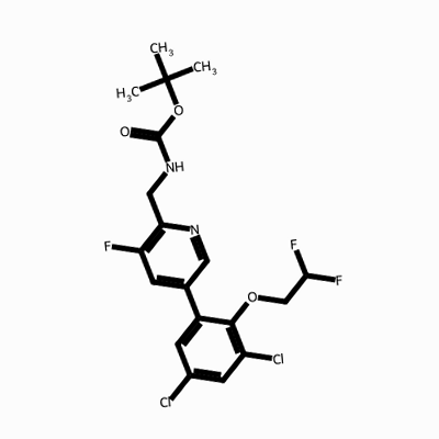 CC(C)(C)OC(=O)NCc1ncc(-c2cc(Cl)cc(Cl)c2OCC(F)F)cc1F